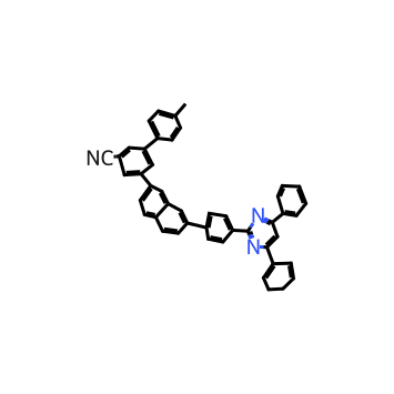 Cc1ccc(-c2cc(C#N)cc(-c3ccc4ccc(-c5ccc(-c6nc(C7=CCCC=C7)cc(-c7ccccc7)n6)cc5)cc4c3)c2)cc1